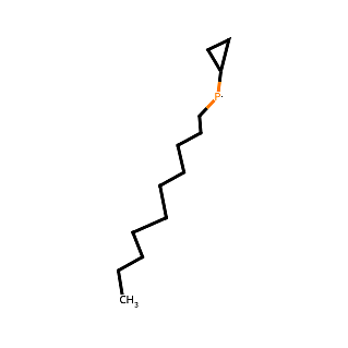 CCCCCCCCCC[P]C1CC1